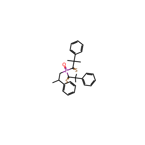 CC(CP(=O)(C(=S)C(C)(C)c1ccccc1)C(=S)C(C)(C)c1ccccc1)c1ccccc1